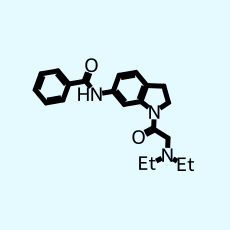 CCN(CC)CC(=O)N1CCc2ccc(NC(=O)c3ccccc3)cc21